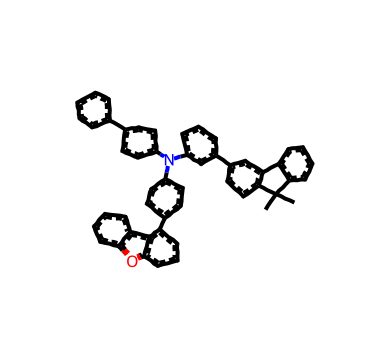 CC1(C)c2ccccc2-c2cc(-c3cccc(N(c4ccc(-c5ccccc5)cc4)c4ccc(-c5cccc6oc7ccccc7c56)cc4)c3)ccc21